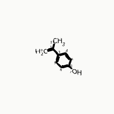 C=C(C)c1ccc(O)cc1